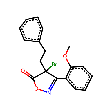 COc1ccccc1C1=NOC(=O)C1(Br)CCc1ccccc1